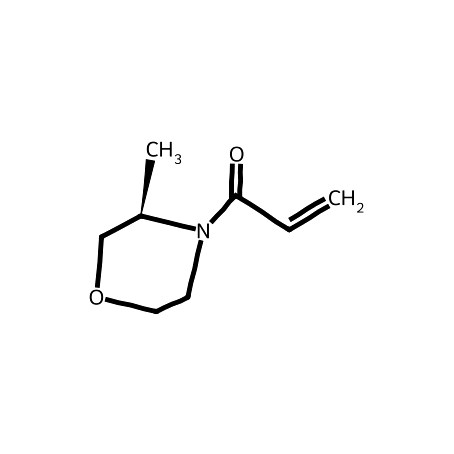 C=CC(=O)N1CCOC[C@H]1C